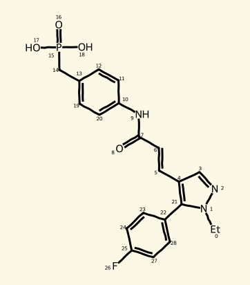 CCn1ncc(C=CC(=O)Nc2ccc(CP(=O)(O)O)cc2)c1-c1ccc(F)cc1